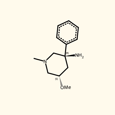 CO[C@@H]1CN(C)C[C@](N)(c2ccccc2)C1